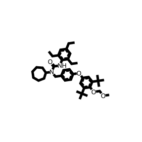 CCc1cc(CC)c(NC(=O)N(Cc2ccc(Oc3cc(C(C)(C)C)c(OCOC)c(C(C)(C)C)c3)cc2)C2CCCCCC2)c(CC)c1